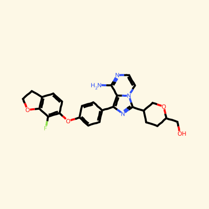 Nc1nccn2c(C3CCC(CO)OC3)nc(-c3ccc(Oc4ccc5c(c4F)OCC5)cc3)c12